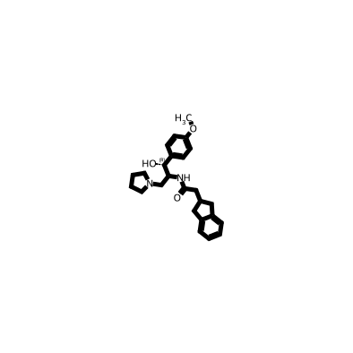 COc1ccc([C@@H](O)C(CN2CCCC2)NC(=O)CC2Cc3ccccc3C2)cc1